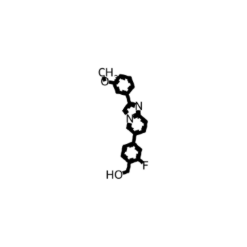 COc1cccc(-c2cn3cc(-c4ccc(CO)c(F)c4)ccc3n2)c1